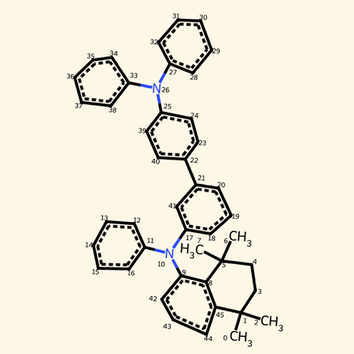 CC1(C)CCC(C)(C)c2c(N(c3ccccc3)c3cccc(-c4ccc(N(c5ccccc5)c5ccccc5)cc4)c3)cccc21